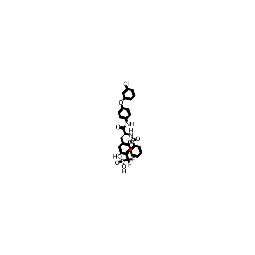 O=C(Nc1ccc(Oc2cccc(Cl)c2)cc1)[C@H](Cc1ccc(C(F)(F)P(=O)(O)O)cc1)NS(=O)(=O)c1ccccc1